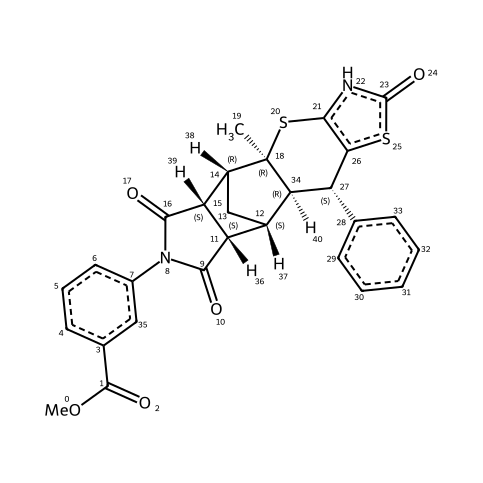 COC(=O)c1cccc(N2C(=O)[C@H]3[C@@H]4C[C@H]([C@H]3C2=O)[C@@]2(C)Sc3[nH]c(=O)sc3[C@H](c3ccccc3)[C@@H]42)c1